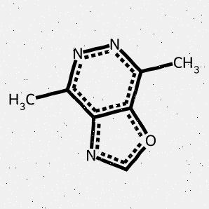 Cc1nnc(C)c2ocnc12